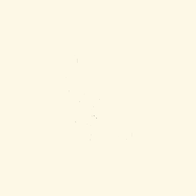 O=C(O)CCN1C(=O)CCC(c2ccc(Cl)cc2)C1=O